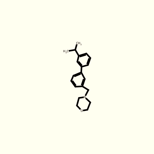 CC(C)c1cccc(-c2cccc(CN3CCOCC3)c2)c1